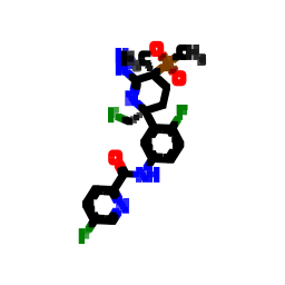 C[C@]1(S(C)(=O)=O)CC[C@@](CF)(c2cc(NC(=O)c3ccc(F)cn3)ccc2F)N=C1N